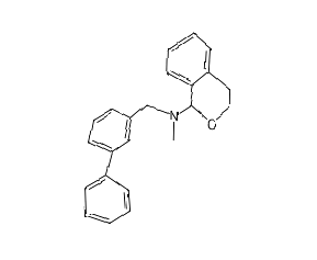 CN(Cc1cccc(-c2ccccc2)c1)C1OCCc2ccccc21